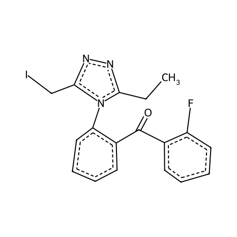 CCc1nnc(CI)n1-c1ccccc1C(=O)c1ccccc1F